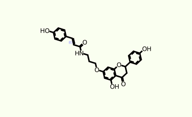 O=C(/C=C/c1ccc(O)cc1)NCCCOc1cc(O)c2c(c1)OC(c1ccc(O)cc1)CC2=O